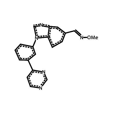 CON=Cc1ccc2c(c1)ncn2-c1cccc(-c2ccncn2)c1